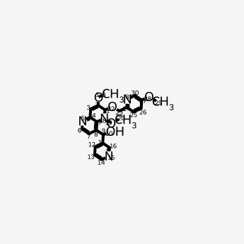 COC1=Cc2nccc(C(O)c3cccnc3)c2N(OC)C1OCc1ccc(OC)cn1